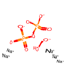 O=P([O-])([O-])OP(=O)([O-])[O-].[Na+].[Na+].[Na+].[Na+].[Na+].[O-]O